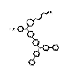 C=C/C=C\C=C/CC1=CCC=C(C(c2ccc(C)cc2)c2ccc(-c3ccc(N(c4ccc(-c5ccccc5)cc4)c4ccc(-c5ccccc5)cc4)cc3)cc2)C=C1